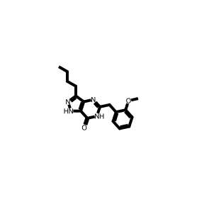 CCCCc1n[nH]c2c(=O)[nH]c(Cc3ccccc3OC)nc12